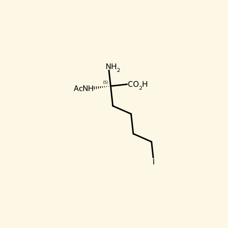 CC(=O)N[C@@](N)(CCCCI)C(=O)O